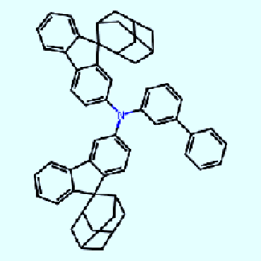 c1ccc(-c2cccc(N(c3ccc4c(c3)-c3ccccc3C43C4CC5CC(C4)CC3C5)c3ccc4c(c3)C3(c5ccccc5-4)C4CC5CC(C4)CC3C5)c2)cc1